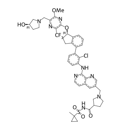 COc1nc(O[C@@H]2CCc3c(-c4cccc(Nc5nccc6cc(CN7CCC(C(=O)NS(=O)(=O)C8(C)CC8)C7)cnc56)c4Cl)cccc32)c(C(F)(F)F)nc1CN1CC[C@@H](O)C1